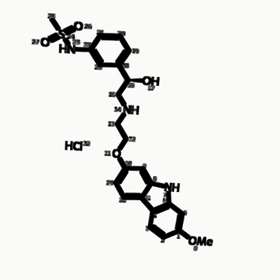 COc1ccc2c(c1)[nH]c1cc(OCCNC[C@H](O)c3cccc(NS(C)(=O)=O)c3)ccc12.Cl